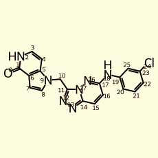 O=c1[nH]ccc2c1ccn2Cc1nnc2ccc(Nc3cccc(Cl)c3)nn12